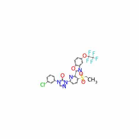 CCS(=O)(=O)c1ccc(-n2ncn(-c3cccc(Cl)c3)c2=O)nc1-c1nc2cc(OC(F)(F)C(F)(F)F)ccc2o1